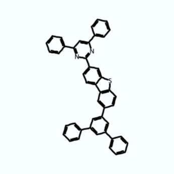 c1ccc(-c2cc(-c3ccccc3)cc(-c3ccc4sc5cc(-c6nc(-c7ccccc7)cc(-c7ccccc7)n6)ccc5c4c3)c2)cc1